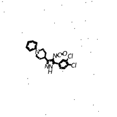 O=C=Nc1c(C2CCN(c3ccccc3)CC2)n[nH]c1-c1ccc(Cl)c(Cl)c1